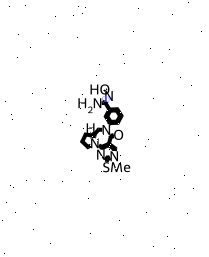 CSc1ncc2c(n1)N1CCC[C@H]1CN(c1cccc(/C(N)=N/O)c1)C2=O